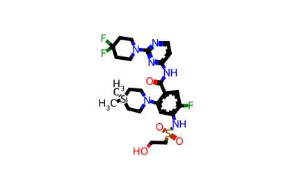 C[Si]1(C)CCN(c2cc(NS(=O)(=O)CCO)c(F)cc2C(=O)Nc2ccnc(N3CCC(F)(F)CC3)n2)CC1